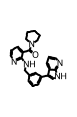 O=C(c1cccnc1NCc1cccc(-c2c[nH]c3ncccc23)c1)N1CCCCC1